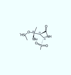 C[SiH](C)O[C@](C)([C@H]1C(=O)N[C@@H]1S(C)(=O)=O)C(C)(C)C